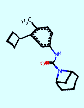 Cc1ccc(NC(=O)N2C3CCCC2C3)cc1C1CCC1